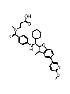 COc1ccc(-c2ccc3c(c2)C(C)C(C(Nc2ccc(C(=O)N(C)CCC(=O)O)cc2)C2CCCCC2)O3)cn1